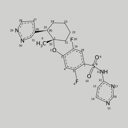 C[C@]1(Oc2cc(F)c(S(=O)(=O)Nc3ccncn3)cc2F)CCCC[C@@H]1c1ccnnc1